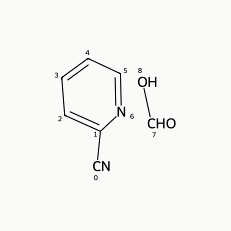 N#Cc1ccccn1.O=CO